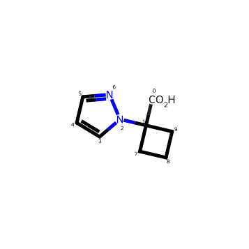 O=C(O)C1(n2cccn2)CCC1